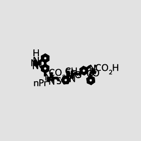 CCCc1nc(CSc2ccc3nc(COc4ccc(CN(CC(=O)O)C(=O)Oc5ccccc5)cc4)n(C)c3c2)c(C(=O)OCC)n1Cc1ccc(-c2ccccc2-c2nnn[nH]2)cc1